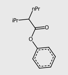 CCCC(C(=O)Oc1ccccc1)C(C)C